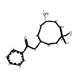 CCC[C@H]1CCC(CC(=O)c2ccccc2)CCC(C)(CC)CC1